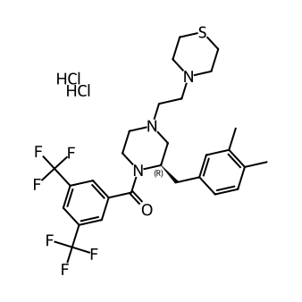 Cc1ccc(C[C@@H]2CN(CCN3CCSCC3)CCN2C(=O)c2cc(C(F)(F)F)cc(C(F)(F)F)c2)cc1C.Cl.Cl